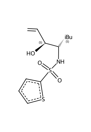 C=C[C@H](O)C(NS(=O)(=O)c1cccs1)[C@@H](C)CC